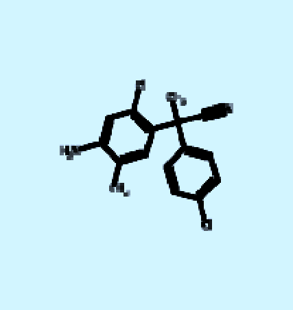 Cc1cc(C(C)(C#N)c2ccc(Cl)cc2)c(Cl)cc1N